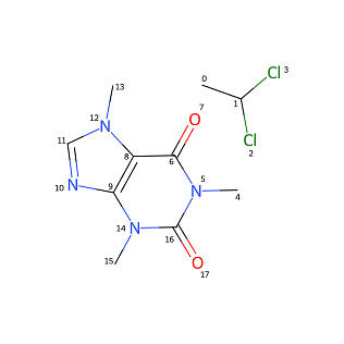 CC(Cl)Cl.Cn1c(=O)c2c(ncn2C)n(C)c1=O